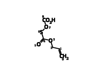 C=CCOC(=O)SOC(=O)O